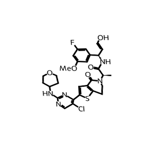 COc1cc(F)cc([C@@H](/C=C/O)NC(=O)[C@@H](C)N2CCc3sc(-c4nc(NC5CCOCC5)ncc4Cl)cc3C2=O)c1